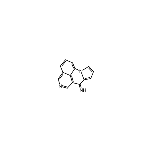 N=c1c2cncc3cccc(c32)n2cccc12